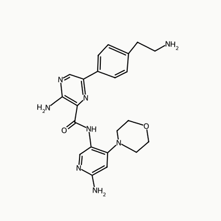 NCCc1ccc(-c2cnc(N)c(C(=O)Nc3cnc(N)cc3N3CCOCC3)n2)cc1